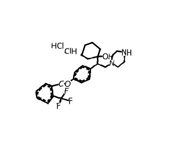 Cl.Cl.OC1(C(CN2CCNCC2)c2ccc(OCc3ccccc3C(F)(F)F)cc2)CCCCC1